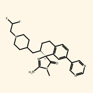 CN1C(=O)[C@@]2(N=C1N)c1cc(-c3cncnc3)ccc1CCC2CC1CCN(CC(F)F)CC1